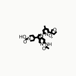 CO[C@@]1(c2cc(C)cc(-n3cc(C4=CCN(C(=O)O)CC4)c4cnc(NC(C)=O)cc43)n2)CCOC1